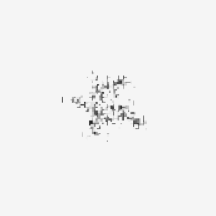 CC(=O)OC1[C@@H](O[C@@H]2C(O)C(O[C@H]3OC(CNC(=O)OC(C)(C)C)CCC3NC(=O)OC(C)(C)C)[C@H](NC(=O)OC(C)(C)C)C[C@H]2NC(=O)[C@H](CCNC(=O)OC(C)(C)C)OC(C)=O)OC(CBr)[C@@H](OC(=O)c2ccccc2)[C@@H]1NC(=O)OC(C)(C)C